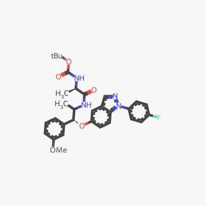 COc1cccc([C@@H](Oc2ccc3c(cnn3-c3ccc(F)cc3)c2)C(C)NC(=O)[C@@H](C)NC(=O)OC(C)(C)C)c1